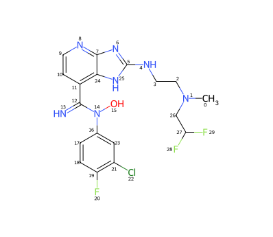 CN(CCNc1nc2nccc(C(=N)N(O)c3ccc(F)c(Cl)c3)c2[nH]1)CC(F)F